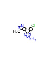 Cc1ncnc2ccc(-c3nnc(N)nc3-c3ccc(Cl)cc3)cc12